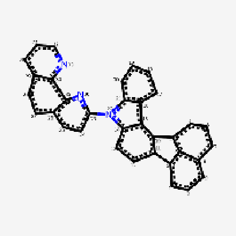 c1cc2c3c(cccc3c1)-c1c-2ccc2c1c1ccccc1n2-c1ccc2ccc3cccnc3c2n1